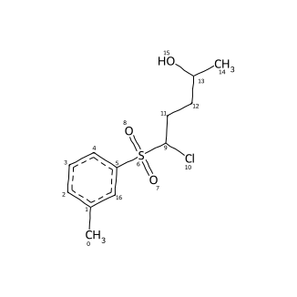 Cc1cccc(S(=O)(=O)C(Cl)CCC(C)O)c1